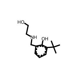 CC(C)(C)c1cccc(CNCCO)c1O